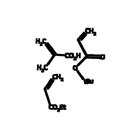 C=C(C)C(=O)O.C=CC(=O)OC(C)(C)C.C=CC(=O)OCC